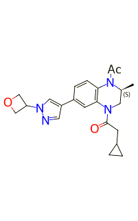 CC(=O)N1c2ccc(-c3cnn(C4COC4)c3)cc2N(C(=O)CC2CC2)C[C@@H]1C